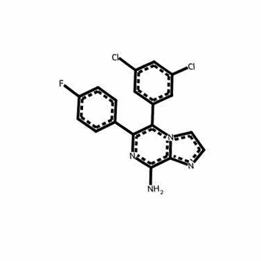 Nc1nc(-c2ccc(F)cc2)c(-c2cc(Cl)cc(Cl)c2)n2ccnc12